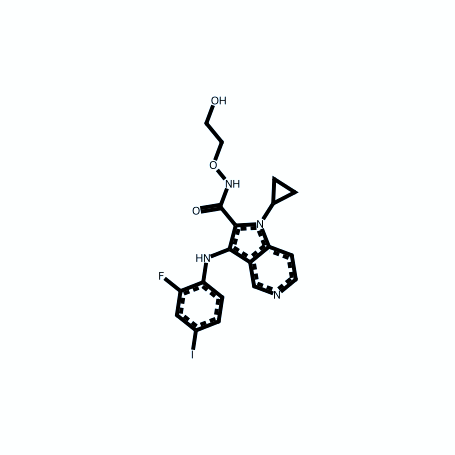 O=C(NOCCO)c1c(Nc2ccc(I)cc2F)c2cnccc2n1C1CC1